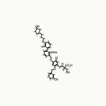 COc1c(COc2cc(OCc3cncc(C#N)c3)c(CNC(C)(CO)C(=O)O)cc2Cl)cccc1-c1cccc(OCCCN2CCC(O)C2)c1C